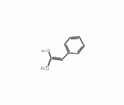 CC(=O)OC(=Cc1ccccc1)OC(C)=O